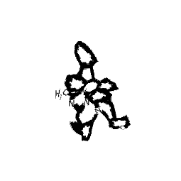 Cc1nc(-c2ccccc2C2c3ccccc3-c3ccccc32)nc(-c2ccccc2-n2c3ccccc3c3ccccc32)n1